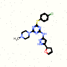 CN1CCN(c2nc(Nc3cc(C4CC=CO4)[nH]n3)nc(Sc3ccc(Cl)cc3)n2)CC1